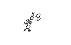 O=S(=O)(Nc1cc(F)c(Br)cc1F)c1c[nH]c(-c2cccc3ccoc23)c1